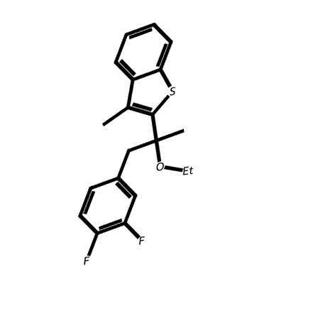 CCOC(C)(Cc1ccc(F)c(F)c1)c1sc2ccccc2c1C